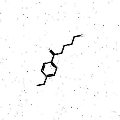 CCc1ccc(C(=O)CCCCCl)cc1